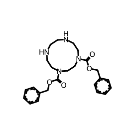 O=C(OCc1ccccc1)N1CCNCCNCCN(C(=O)OCc2ccccc2)CC1